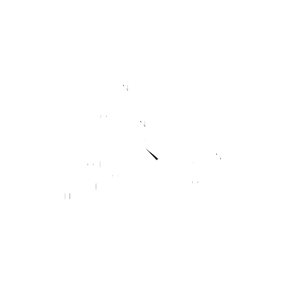 NC(=O)CC[C@H](NC(N)=O)C(=O)OP(=O)(O)O